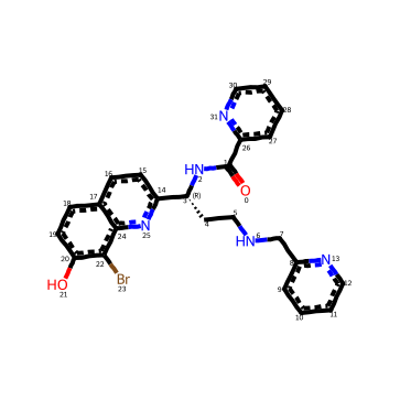 O=C(N[C@H](CCNCc1ccccn1)c1ccc2ccc(O)c(Br)c2n1)c1ccccn1